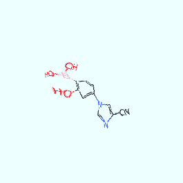 N#Cc1cn(-c2ccc(B(O)O)c(O)c2)cn1